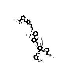 Cc1c(COc2cc(OCc3cncc(C#N)c3)c(CN3CCCC3C(N)=O)cc2Cl)cccc1-c1cccc(OCCCn2cc(CN3CCCC3C(N)=O)nn2)c1C